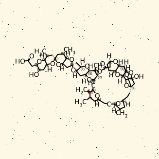 C=C1C[C@@H]2CC[C@@]34C[C@]5(O)O[C@H]6[C@@H](O3)[C@H]3O[C@H](CC[C@@H]3O[C@H]6C5O4)CC(=O)O[C@@H]3[C@@H](C)[C@@H]4O[C@@H]5C[C@@]6(C[C@@H]7O[C@]8(C[C@H](C)[C@@H]9O[C@H](CC(=O)O)[C@H](O)C[C@@H]9O8)C[C@H](C)[C@@H]7O6)O[C@@H]5C[C@@H]4O[C@H]3C[C@H]3O[C@@H](CC[C@@H]1O2)C[C@@H](C)C3=C